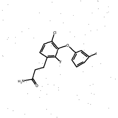 NC(=O)C[CH]c1ccc(Cl)c(Oc2cccc(I)c2)c1F